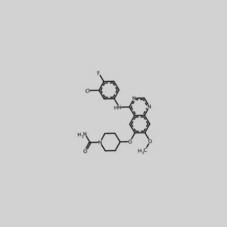 COc1cc2ncnc(Nc3ccc(F)c(Cl)c3)c2cc1OC1CCN(C(N)=O)CC1